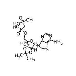 CC1(C)O[C@@H]2[C@H](O1)[C@@H](COP(=O)(O)CP(=O)(O)O)O[C@H]2n1cnc2c(N)ncnc21